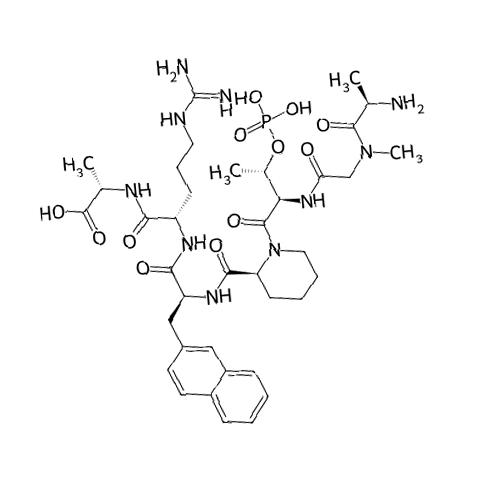 C[C@H](NC(=O)[C@H](CCCNC(=N)N)NC(=O)[C@H](Cc1ccc2ccccc2c1)NC(=O)[C@@H]1CCCCN1C(=O)[C@H](NC(=O)CN(C)C(=O)[C@@H](C)N)[C@H](C)OP(=O)(O)O)C(=O)O